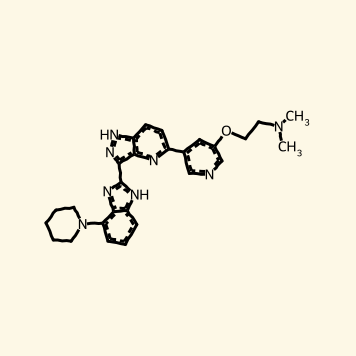 CN(C)CCOc1cncc(-c2ccc3[nH]nc(-c4nc5c(N6CCCCC6)cccc5[nH]4)c3n2)c1